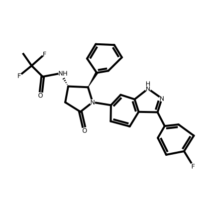 CC(F)(F)C(=O)N[C@H]1CC(=O)N(c2ccc3c(-c4ccc(F)cc4)n[nH]c3c2)[C@@H]1c1ccccc1